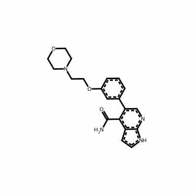 NC(=O)c1c(-c2cccc(OCCN3CCOCC3)c2)cnc2[nH]c[c]c12